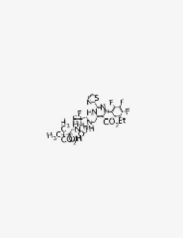 CCOC(=O)C1=C(CN2CC(F)(F)[C@H]3[C@@H]2CON3C[C@H](O)C(C)(C)C(=O)O)NC(c2nccs2)=N[C@H]1c1ccc(F)c(F)c1F